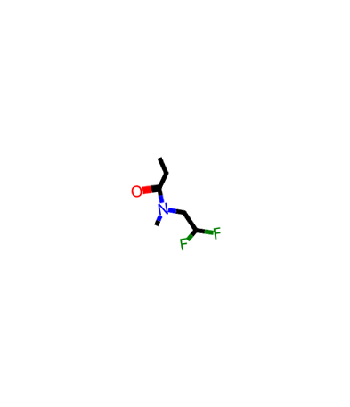 CCC(=O)N(C)CC(F)F